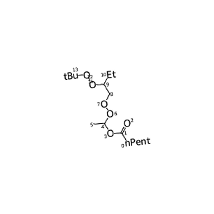 CCCCCC(=O)OC(C)OOCC(CC)OOC(C)(C)C